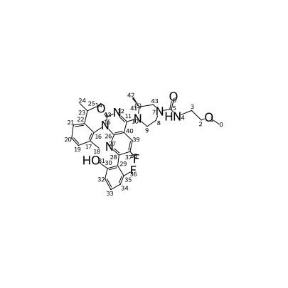 COCCNC(=O)N1CCN(c2nc(=O)n(-c3c(C)cccc3C(C)C)c3nc(-c4c(O)cccc4F)c(F)cc23)[C@@H](C)C1